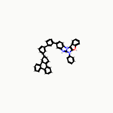 c1ccc(-n2c3oc4ccccc4c3n3c4ccc(-c5cccc(-c6cccc(-c7ccc8c9ccccc9c9ccccc9c8c7)c6)c5)cc4nc23)cc1